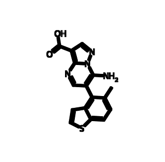 Cc1ccc2sccc2c1-c1cnc2c(C(=O)O)cnn2c1N